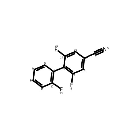 N#Cc1cc(F)c(-c2ccc[c]c2F)c(F)c1